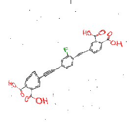 O=C(O)c1ccc(C#Cc2ccc(C#Cc3ccc(C(=O)O)c(C(=O)O)c3)c(F)c2)cc1C(=O)O